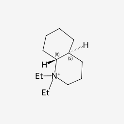 CC[N+]1(CC)CCC[C@@H]2CCCC[C@H]21